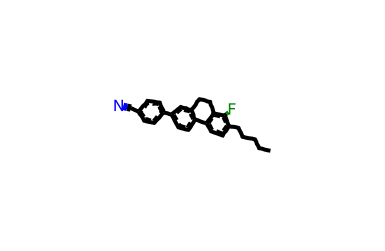 CCCCCc1ccc2c(c1F)CCc1cc(-c3ccc(C#N)cc3)ccc1-2